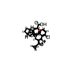 O=C(O)c1ccnc([C@@]2(O)[C@@H]3CC[C@H]2C[C@@H](OCc2c(-c4c(Cl)cccc4Cl)noc2C2CC2)C3)c1